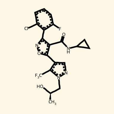 C[C@@H](O)Cn1ncc(-c2onc(-c3c(F)cccc3Cl)c2C(=O)NC2CC2)c1C(F)(F)F